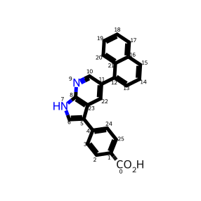 O=C(O)c1ccc(-c2c[nH]c3ncc(-c4cccc5ccccc45)cc23)cc1